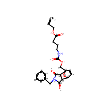 C=CCOC(=O)CCCNC(=O)OCC12C=CC(O1)C1C(=O)N(Cc3ccccc3)C(=O)C12